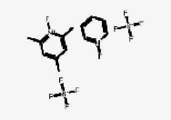 Cc1cc(C)[n+](F)c(C)c1.F[B-](F)(F)F.F[B-](F)(F)F.F[n+]1ccccc1